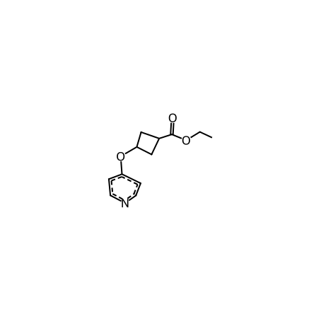 CCOC(=O)C1CC(Oc2ccncc2)C1